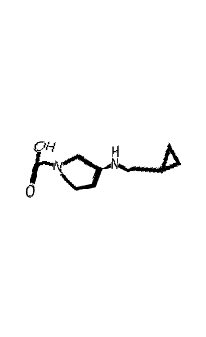 O=C(O)N1CC[C@H](NCC2CC2)C1